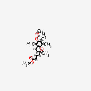 COCOc1c(C)c(C)c2c(c1C)CCC(C)(C/C=C/C(=O)OC)O2